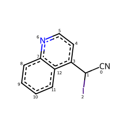 N#CC(I)c1ccnc2ccccc12